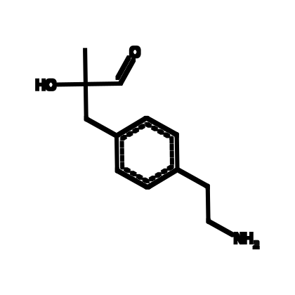 CC(O)(C=O)Cc1ccc(CCN)cc1